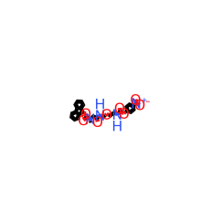 CN(CC(=O)NCOCCNC(=O)Oc1ccc([N+](=O)[O-])cc1)C(=O)OC1c2ccccc2-c2ccccc21